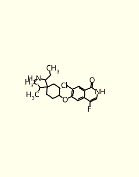 CCC(N)C1(C(C)C)CCC(Oc2cc3c(F)c[nH]c(=O)c3cc2Cl)CC1